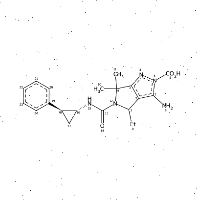 CCC1c2c(nn(C(=O)O)c2N)C(C)(C)N1C(=O)N[C@@H]1C[C@H]1c1ccccc1